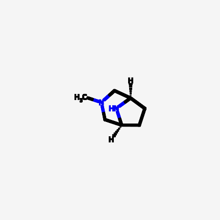 CN1C[C@H]2CC[C@@H](C1)N2